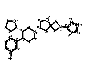 Fc1ccc([C@@H]2CCOC2)c(C2CCN([C@@H]3COC4(C3)CN(c3nnco3)C4)CC2)c1